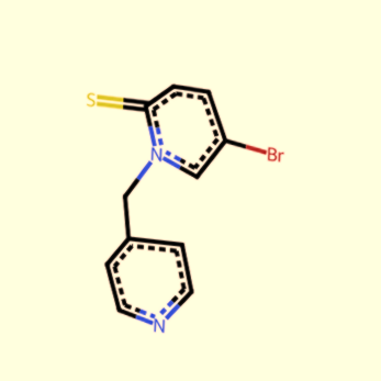 S=c1ccc(Br)cn1Cc1ccncc1